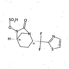 O=C1N2C[C@@H](CC[C@H]2C(F)(F)c2nccs2)N1OS(=O)(=O)O